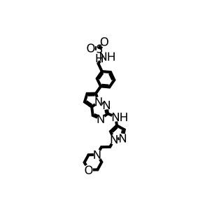 O=[SH](=O)NCc1cccc(-c2ccc3cnc(Nc4cnn(CCN5CCOCC5)c4)nn23)c1